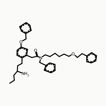 CCCC(N)CCc1ccc(OCc2ccccc2)cc1CC(=O)N(CCCCCCOCCc1ccccc1)Cc1ccccc1